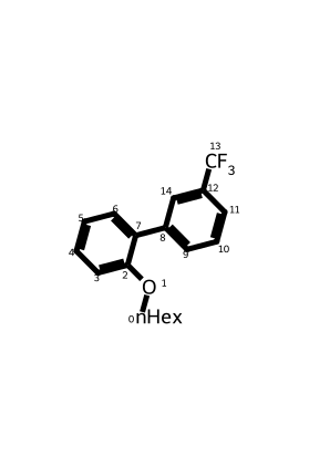 [CH2]CCCCCOc1ccccc1-c1cccc(C(F)(F)F)c1